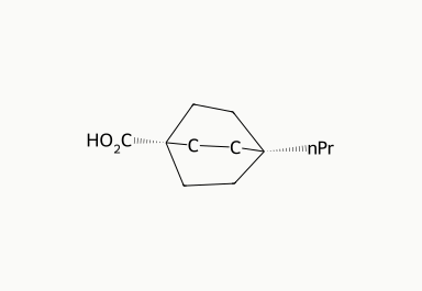 CCC[C@]12CC[C@](C(=O)O)(CC1)CC2